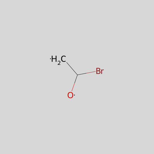 [CH2]C([O])Br